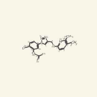 Cc1ccc(OCc2cn(-c3ccc(Cl)c(OC(F)F)c3)nn2)nc1C